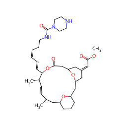 COC(=O)/C=C1\CC2CC(=O)OC(/C=C/C=C\CCNC(=O)N3CCNCC3)C(C)/C=C/C(C)CC3CCCC(CC(C1)O2)O3